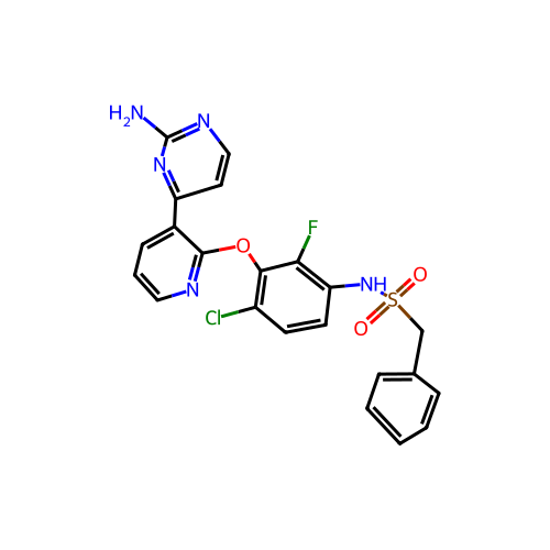 Nc1nccc(-c2cccnc2Oc2c(Cl)ccc(NS(=O)(=O)Cc3ccccc3)c2F)n1